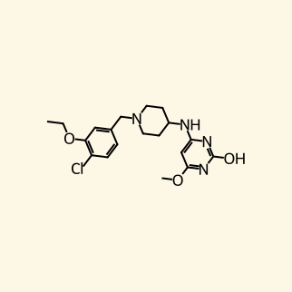 CCOc1cc(CN2CCC(Nc3cc(OC)nc(O)n3)CC2)ccc1Cl